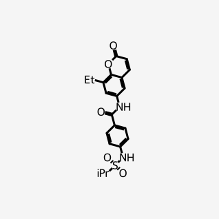 CCc1cc(NC(=O)c2ccc(NS(=O)(=O)C(C)C)cc2)cc2ccc(=O)oc12